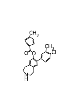 Cc1ccc(C(=O)Oc2cc3c(cc2-c2ccc(Cl)c(C)c2)CCNCC3)cc1